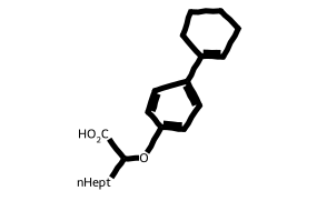 CCCCCCCC(Oc1ccc(C2=CCCCC2)cc1)C(=O)O